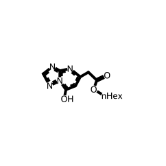 CCCCCCOC(=O)Cc1cc(O)n2ncnc2n1